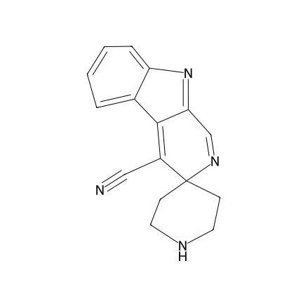 N#CC1=C2C(=Nc3ccccc32)C=NC12CCNCC2